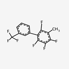 Cc1c(F)c(F)c(F)c(-c2cccc(C(F)(F)F)c2)c1F